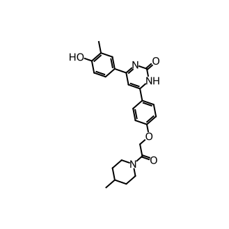 Cc1cc(-c2cc(-c3ccc(OCC(=O)N4CCC(C)CC4)cc3)[nH]c(=O)n2)ccc1O